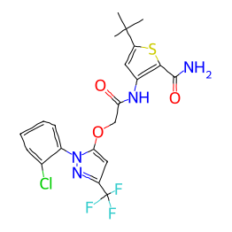 CC(C)(C)c1cc(NC(=O)COc2cc(C(F)(F)F)nn2-c2ccccc2Cl)c(C(N)=O)s1